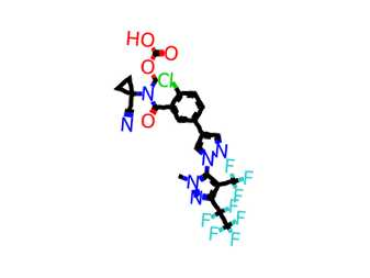 Cn1nc(C(F)(F)C(F)(F)F)c(C(F)(F)F)c1-n1cc(-c2ccc(Cl)c(C(=O)N(COC(=O)O)C3(C#N)CC3)c2)cn1